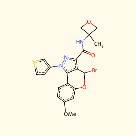 COc1ccc2c(c1)OC(Br)c1c(C(=O)NC3(C)COC3)nn(-c3ccsc3)c1-2